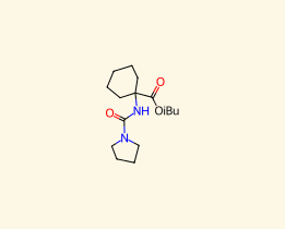 CC(C)COC(=O)C1(NC(=O)N2CCCC2)CCCCC1